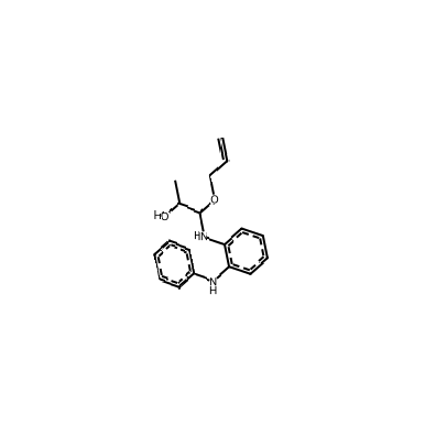 C=CCOC(Nc1ccccc1Nc1ccccc1)C(C)O